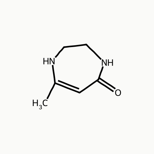 CC1=CC(=O)NCCN1